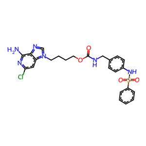 Nc1nc(Cl)cc2c1ncn2CCCCOC(=O)NCc1ccc(NS(=O)(=O)c2ccccc2)cc1